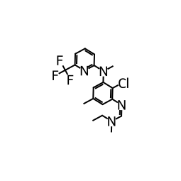 CCN(C)/C=N\c1cc(C)cc(N(C)c2cccc(C(F)(F)F)n2)c1Cl